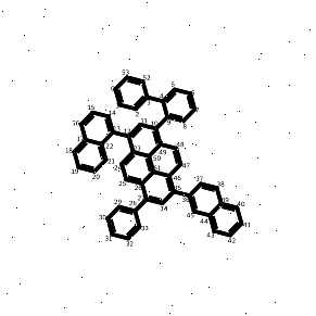 c1ccc(-c2ccccc2-c2cc(-c3cccc4ccccc34)c3ccc4c(-c5ccccc5)cc(-c5ccc6ccccc6c5)c5ccc2c3c45)cc1